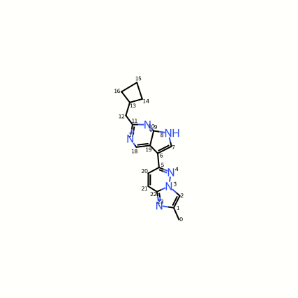 Cc1cn2nc(-c3c[nH]c4nc(CC5CCC5)ncc34)ccc2n1